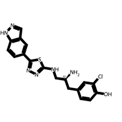 N[C@H](CNc1nnc(-c2ccc3[nH]ncc3c2)s1)Cc1ccc(O)c(Cl)c1